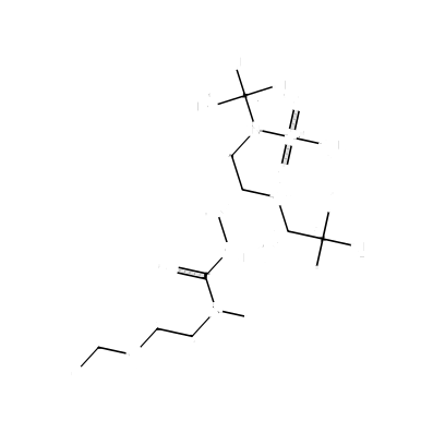 CCOCCN(C)C(=O)OC[C@H](CN(C(C)(C)C)S(C)(=O)=O)O[C@@H](C)C(C)(C)C